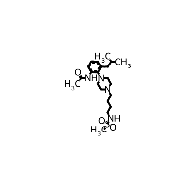 CC(=O)Nc1cccc(CC(C)C)c1N1CCN(CCCCNS(C)(=O)=O)CC1